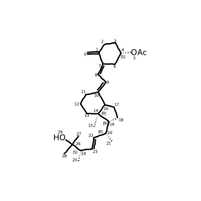 C=C1CC[C@H](OC(C)=O)CC1=CC=C1CCC[C@@]2(C)C1CC[C@@H]2[C@H](C)C=C[C@H](C)C(C)(C)O